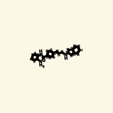 Nc1ccccc1NC(=O)c1ccc(C=CCNC2Cc3ccccc3C2)cc1